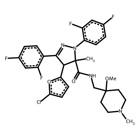 COC1(CNC(=O)C2(C)C(c3ccc(Cl)o3)C(c3ccc(F)cc3F)=NN2c2ccc(F)cc2F)CCN(C)CC1